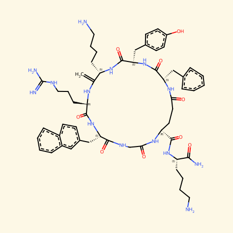 C=C1N[C@H](CCCNC(=N)N)C(=O)N[C@@H](Cc2ccc3ccccc3c2)C(=O)NCC(=O)N[C@@H](C(=O)N[C@@H](CCCCN)C(N)=O)CCC(=O)N[C@@H](Cc2ccccc2)C(=O)N[C@@H](Cc2ccc(O)cc2)C(=O)N[C@H]1CCCCN